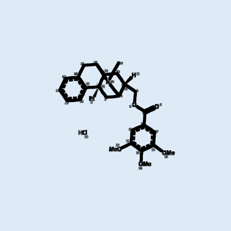 CC[C@@]12CC3[C@@H](COC(=O)c4cc(OC)c(OC)c(OC)c4)CC1C(Cc1ccccc12)N3C.Cl